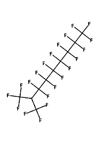 FC(F)(F)[C](C(F)(F)F)C(F)(F)C(F)(F)C(F)(F)C(F)(F)C(F)(F)C(F)(F)C(F)(F)F